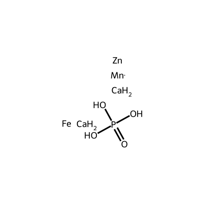 O=P(O)(O)O.[CaH2].[CaH2].[Fe].[Mn].[Zn]